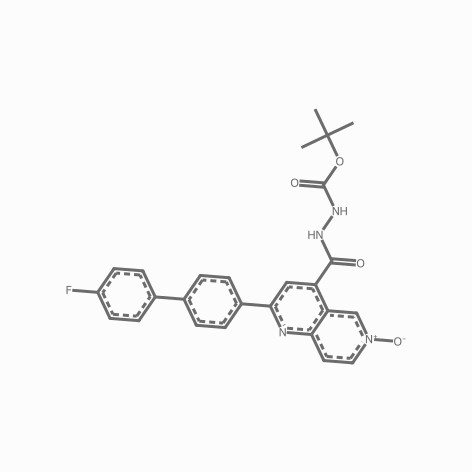 CC(C)(C)OC(=O)NNC(=O)c1cc(-c2ccc(-c3ccc(F)cc3)cc2)nc2cc[n+]([O-])cc12